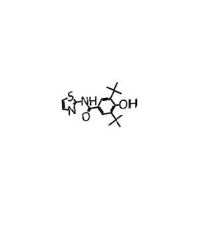 CC(C)(C)c1cc(C(=O)Nc2nccs2)cc(C(C)(C)C)c1O